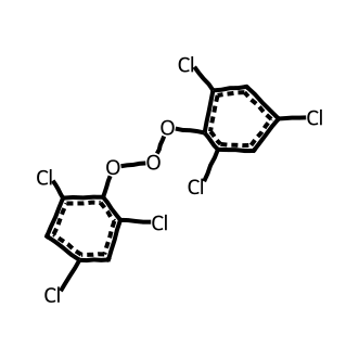 Clc1cc(Cl)c(OOOc2c(Cl)cc(Cl)cc2Cl)c(Cl)c1